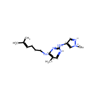 CC(C)=CCCCNc1nc(Nc2cnn(C(C)(C)C)c2)ncc1C